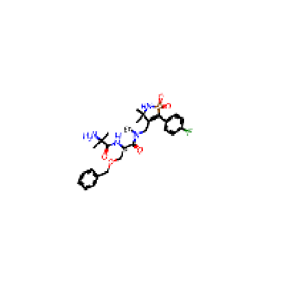 CCN(CC1=C(c2ccc(F)cc2)S(=O)(=O)NC1(C)C)C(=O)[C@@H](COCc1ccccc1)NC(=O)C(C)(C)N